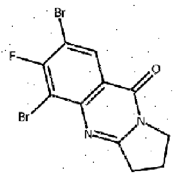 O=c1c2cc(Br)c(F)c(Br)c2nc2n1CCC2